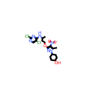 Cc1c([N+](=O)[O-])c(OCCC(C)Nc2nc(Cl)ncc2Cl)nn1C1CCC(O)CC1